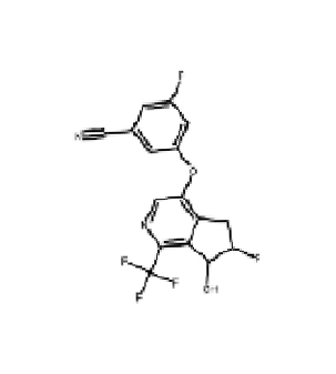 N#Cc1cc(F)cc(Oc2cnc(C(F)(F)F)c3c2CC(F)C3O)c1